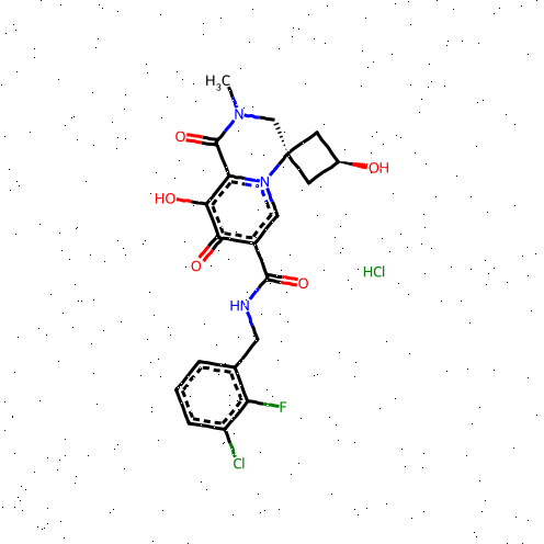 CN1C[C@]2(C[C@H](O)C2)n2cc(C(=O)NCc3cccc(Cl)c3F)c(=O)c(O)c2C1=O.Cl